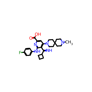 CN1CCC2(CC1)CCN(c1cc(C(=O)O)nc(Nc3ccc(F)cc3)c1C(=N)C1CCC1)CC2